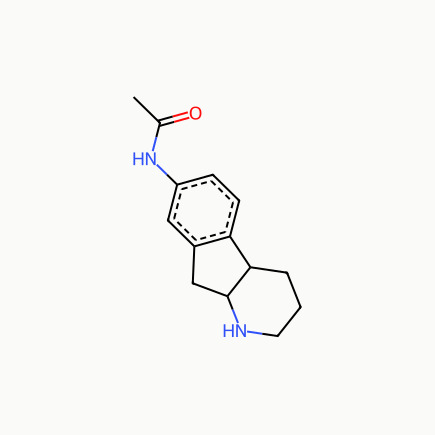 CC(=O)Nc1ccc2c(c1)CC1NCCCC21